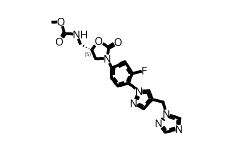 COC(=O)NC[C@H]1CN(c2ccc(-n3cc(Cn4cncn4)cn3)c(F)c2)C(=O)O1